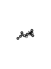 C1=CC(N(c2ccccc2)c2ccc(-c3ccccc3)cc2)Cc2c1oc1cc(-c3nc(-c4ccccc4)c4sc5ccccc5c4n3)ccc21